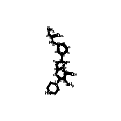 Bc1c(N2CCNCC2)nc2sc(-c3cccc(NC(=O)CN)c3)nn2c1=O